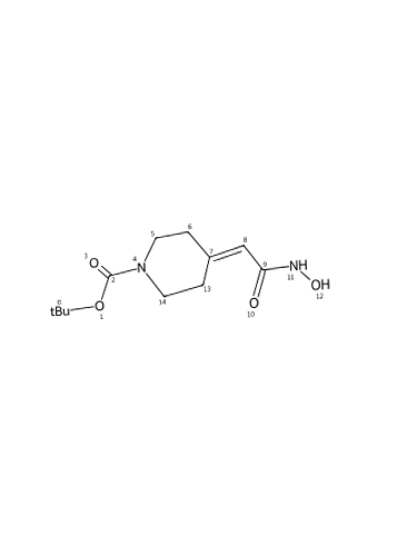 CC(C)(C)OC(=O)N1CCC(=CC(=O)NO)CC1